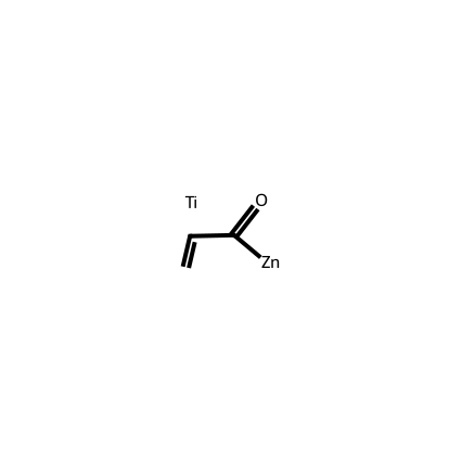 C=C[C](=O)[Zn].[Ti]